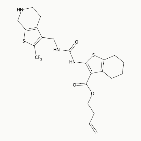 C=CCCOC(=O)c1c(NC(=O)NCc2c(C(F)(F)F)sc3c2CCNC3)sc2c1CCCC2